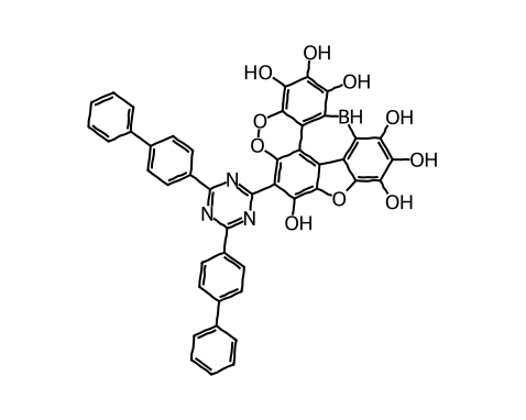 Oc1c(O)c2c3c(c1O)OOc1c(-c4nc(-c5ccc(-c6ccccc6)cc5)nc(-c5ccc(-c6ccccc6)cc5)n4)c(O)c4oc5c(O)c(O)c(O)c(c5c4c1-3)B2